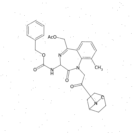 CC(=O)OCC1=NC(NC(=O)OCc2ccccc2)C(=O)N(CC(=O)N2CC3CCC(CC3)C2)c2c(C)cccc21